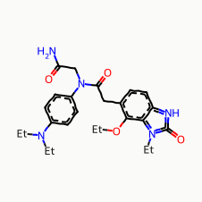 CCOc1c(CC(=O)N(CC(N)=O)c2ccc(N(CC)CC)cc2)ccc2[nH]c(=O)n(CC)c12